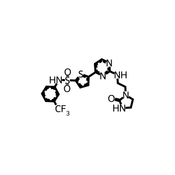 O=C1NCCN1CCNc1nccc(-c2ccc(S(=O)(=O)Nc3cccc(C(F)(F)F)c3)s2)n1